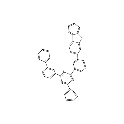 c1ccc(-c2cccc(-c3nc(-c4ccccc4)nc(-c4cccc(-c5ccc6c(c5)sc5ccccc56)c4)n3)c2)cc1